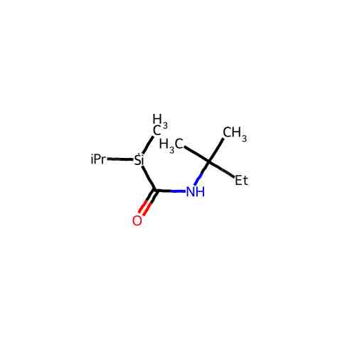 CCC(C)(C)NC(=O)[Si](C)C(C)C